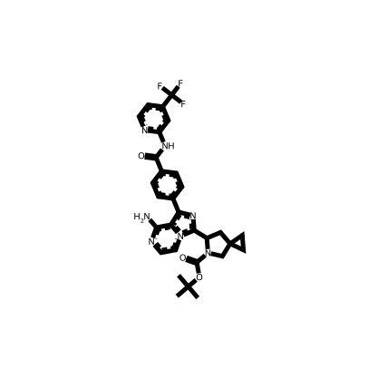 CC(C)(C)OC(=O)N1CC2(CC2)CC1c1nc(-c2ccc(C(=O)Nc3cc(C(F)(F)F)ccn3)cc2)c2c(N)nccn12